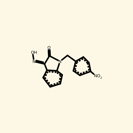 O=C1/C(=N\O)c2ccccc2N1Cc1ccc([N+](=O)[O-])cc1